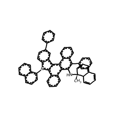 C[C@@]1(Nc2c(-c3ccccc3)c3ccccc3c3c2c2ccccc2c2c3c3cc(-c4ccccc4)ccc3n2-c2cccc3ccccc23)C=CC=C2C=CC=CC21